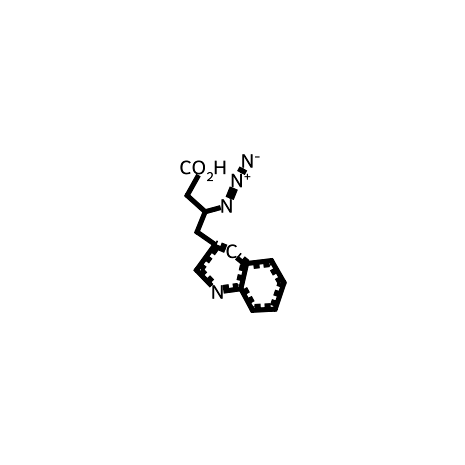 [N-]=[N+]=NC(CC(=O)O)Cc1cnc2ccccc2c1